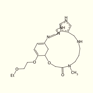 CCOCCOC1=CC=C2CC1OCC(=O)N(C)CCCNCc1c[nH]c3c1/C(=N/2)N=CN3